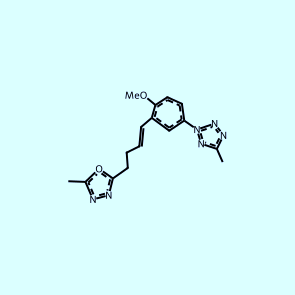 COc1ccc(-n2nnc(C)n2)cc1/C=C/CCc1nnc(C)o1